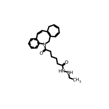 CCBNC(=O)CCCCC(=O)N1CC2=C(/C=C\c3ccccc31)CC=CC=C2